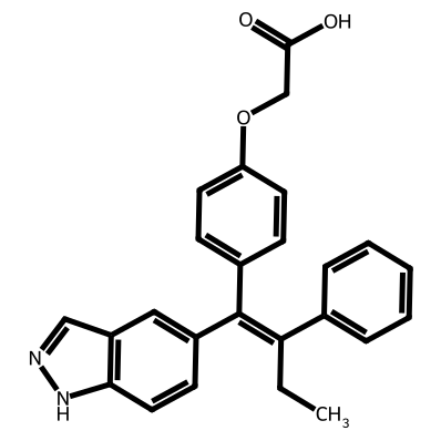 CC/C(=C(/c1ccc(OCC(=O)O)cc1)c1ccc2[nH]ncc2c1)c1ccccc1